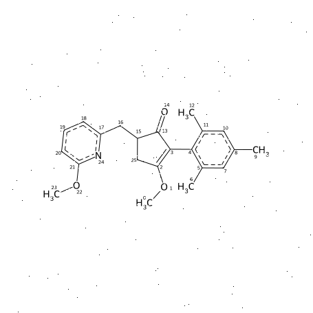 COC1=C(c2c(C)cc(C)cc2C)C(=O)C(Cc2cccc(OC)n2)C1